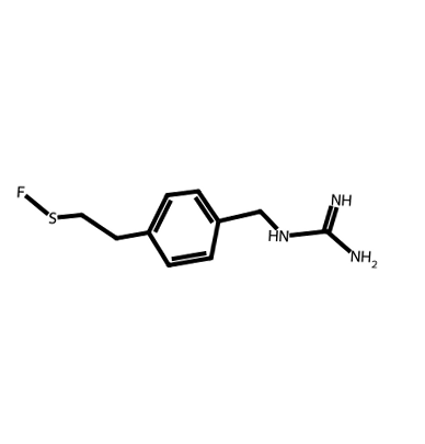 N=C(N)NCc1ccc(CCSF)cc1